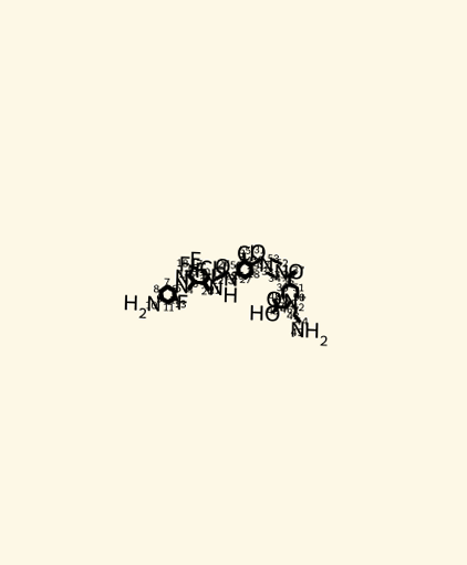 Cn1c(-c2cn(-c3ccc(N)cc3F)nc2C(F)(F)F)cnc1C(=O)Nc1ccc(C(=O)N2CCN(C(=O)C3CC[N+](CCCN)(CC(=O)O)CC3)CC2)c(Cl)c1